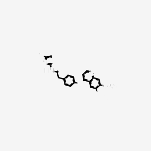 COc1cc2nccc(Oc3ccc(CC(=O)Nc4nc(C)cs4)cc3)c2cc1C(=O)O